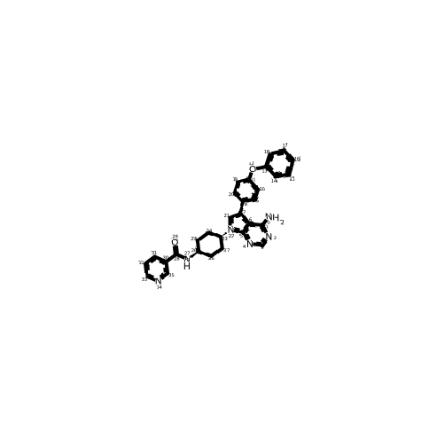 Nc1ncnc2c1c(-c1ccc(Oc3ccccc3)cc1)cn2[C@H]1CC[C@H](NC(=O)c2cccnc2)CC1